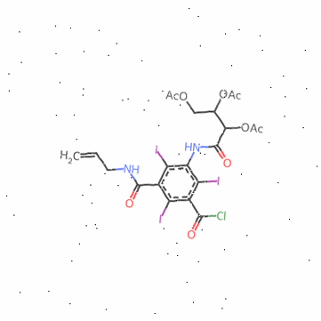 C=CCNC(=O)c1c(I)c(NC(=O)C(OC(C)=O)C(COC(C)=O)OC(C)=O)c(I)c(C(=O)Cl)c1I